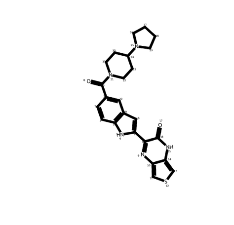 O=C(c1ccc2[nH]c(-c3nc4cscc4[nH]c3=O)cc2c1)N1CCC(N2CCCC2)CC1